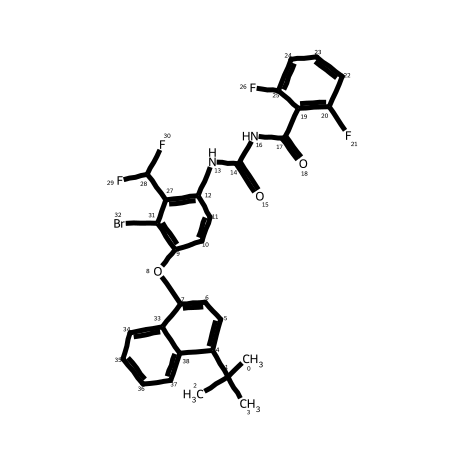 CC(C)(C)c1ccc(Oc2ccc(NC(=O)NC(=O)c3c(F)cccc3F)c(C(F)F)c2Br)c2ccccc12